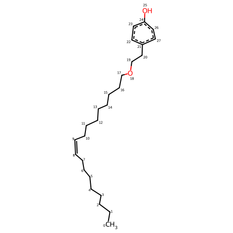 CCCCCCCC/C=C\CCCCCCCCOCCc1ccc(O)cc1